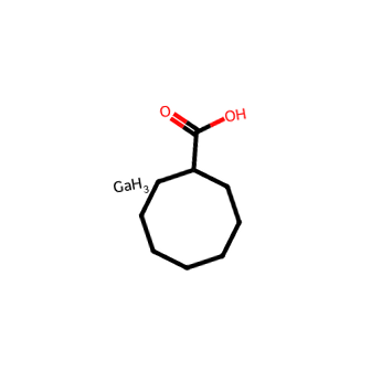 O=C(O)C1CCCCCCC1.[GaH3]